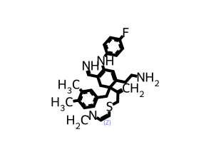 C=N/C=C\SCC(=C)C1(Cc2ccc(C)c(C)c2)CC(C=N)=C(Nc2ccc(F)cc2)C=C1CCN